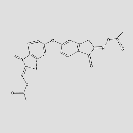 CC(=O)O/N=C1\Cc2cc(Oc3ccc4c(c3)C/C(=N\OC(C)=O)C4=O)ccc2C1=O